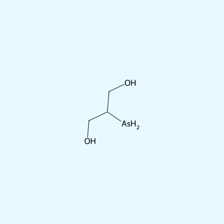 OCC([AsH2])CO